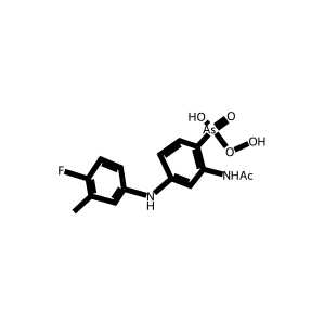 CC(=O)Nc1cc(Nc2ccc(F)c(C)c2)ccc1[As](=O)(O)OO